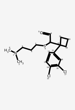 CN(C)CCCSC(C=O)C1(c2ccc(Cl)c(Cl)c2)CCC1